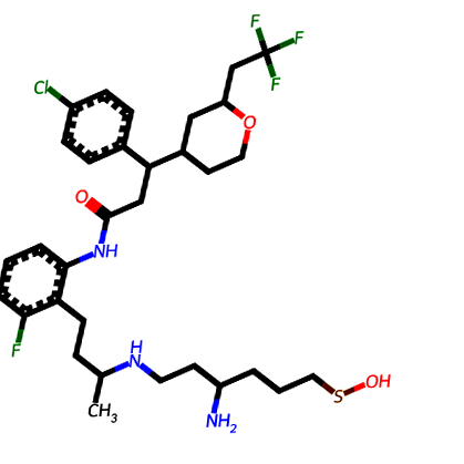 CC(CCc1c(F)cccc1NC(=O)CC(c1ccc(Cl)cc1)C1CCOC(CC(F)(F)F)C1)NCCC(N)CCCSO